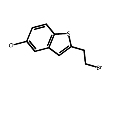 Clc1ccc2sc(CCBr)cc2c1